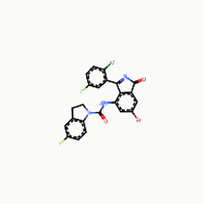 O=C1N=C(c2cc(F)ccc2Cl)c2c(NC(=O)N3CCc4cc(F)ccc43)cc(Br)cc21